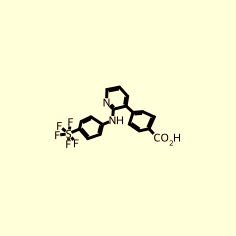 O=C(O)c1ccc(-c2cccnc2Nc2ccc(S(F)(F)(F)(F)F)cc2)cc1